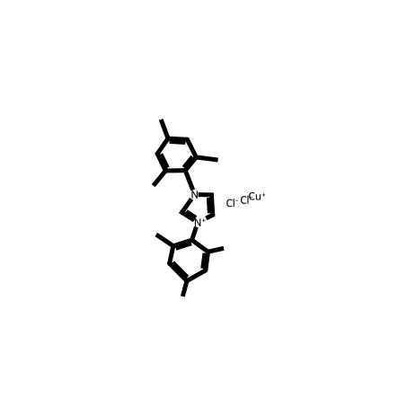 Cc1cc(C)c(-n2cc[n+](-c3c(C)cc(C)cc3C)c2)c(C)c1.[Cl-].[Cl-].[Cu+]